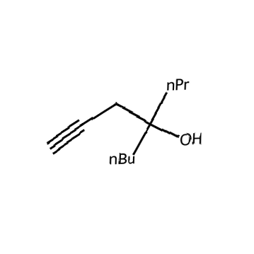 C#CCC(O)(CCC)CCCC